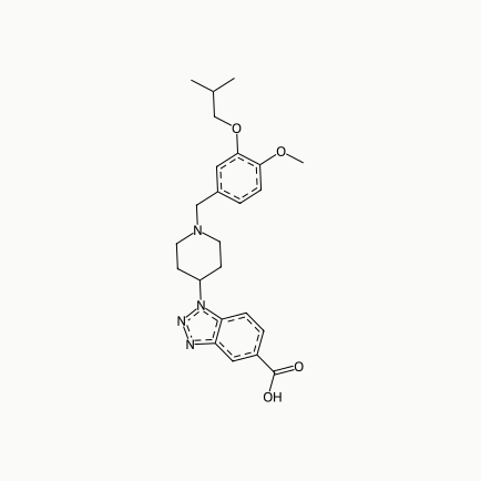 COc1ccc(CN2CCC(n3nnc4cc(C(=O)O)ccc43)CC2)cc1OCC(C)C